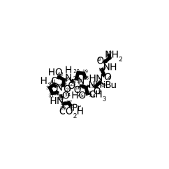 CC[C@H](C)[C@H](NC(=O)CNC(=O)CN)C(=O)N[C@H](C(=O)N1CCC[C@H]1C(=O)N[C@H](C(=O)N1CCC[C@H]1C(=O)N[C@@H](CC(C)C)C(=O)O)[C@@H](C)O)[C@@H](C)O